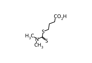 CN(C)C(=S)SCCCC(=O)O